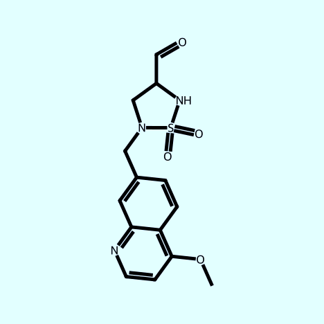 COc1ccnc2cc(CN3CC(C=O)NS3(=O)=O)ccc12